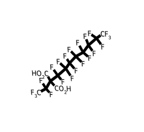 O=C(O)C(C(=O)O)(C(F)(F)C(F)(F)F)C(F)(F)C(F)(F)C(F)(F)C(F)(F)C(F)(F)C(F)(F)C(F)(F)C(F)(F)F